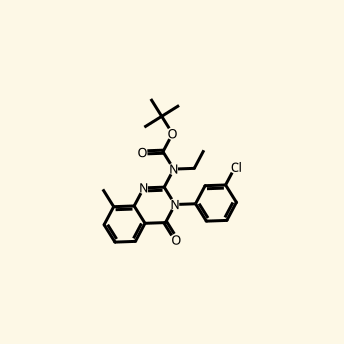 CCN(C(=O)OC(C)(C)C)c1nc2c(C)cccc2c(=O)n1-c1cccc(Cl)c1